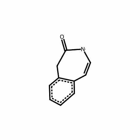 O=C1Cc2ccccc2C=C[N]1